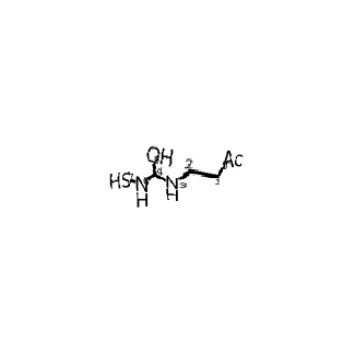 CC(=O)CCNC(O)NS